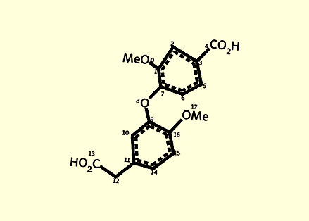 COc1cc(C(=O)O)ccc1Oc1cc(CC(=O)O)ccc1OC